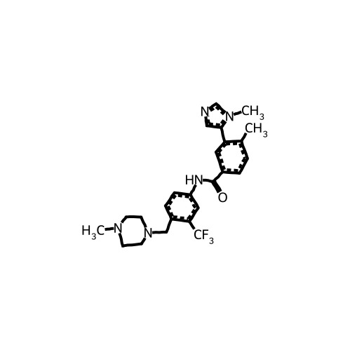 Cc1ccc(C(=O)Nc2ccc(CN3CCN(C)CC3)c(C(F)(F)F)c2)cc1-c1cncn1C